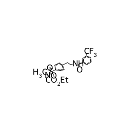 CCOC(=O)N(C)S(=O)(=O)c1ccc(CCNC(=O)c2cccc(C(F)(F)F)c2)cc1